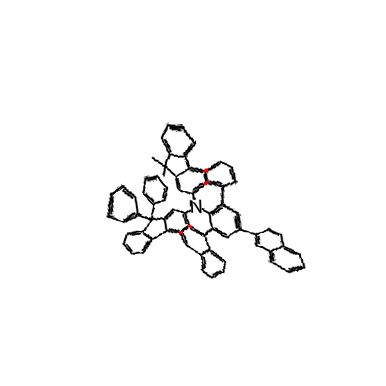 CC1(C)c2ccccc2-c2ccc(N(c3ccc4c(c3)C(c3ccccc3)(c3ccccc3)c3ccccc3-4)c3c(-c4ccccc4)cc(-c4ccc5ccccc5c4)cc3-c3cccc4ccccc34)cc21